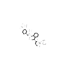 COc1ccc(C(=O)Nc2ncc(-c3ccnc(N4CCOCC4)n3)c3ccccc23)cc1